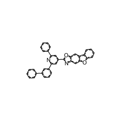 c1ccc(-c2cccc(-c3cc(-c4nc5cc6oc7ccccc7c6cc5o4)cc(-c4ccccc4)n3)c2)cc1